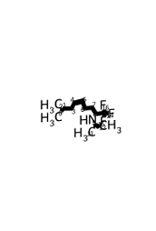 CC(C)C/C=C\CCC(NC(C)C)C(F)(F)F